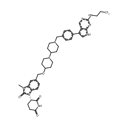 Cn1c(=O)n([C@H]2CCC(=O)NC2=O)c2ccc(COC3CCN(C4CCN(Cc5ccc(-c6c[nH]c7nc(NCCC(F)(F)F)ncc67)cc5)CC4)CC3)cc21